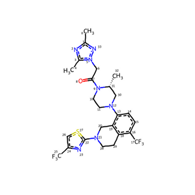 Cc1nc(C)n(CC(=O)N2CCN(c3ccc(C(F)(F)F)c4c3CN(c3nc(C(F)(F)F)cs3)CC4)C[C@H]2C)n1